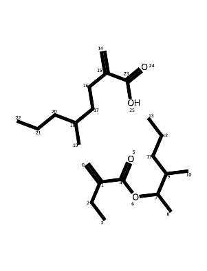 C=C(CC)C(=O)OC(C)C(C)CCC.C=C(CCC(C)CCC)C(=O)O